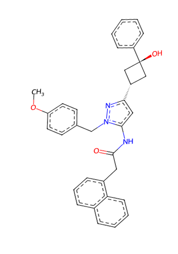 COc1ccc(Cn2nc([C@H]3C[C@@](O)(c4ccccc4)C3)cc2NC(=O)Cc2cccc3ccccc23)cc1